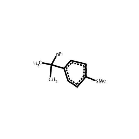 CCCC(C)(C)c1ccc(SC)cc1